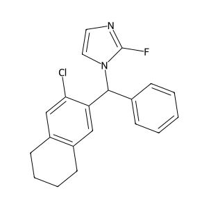 Fc1nccn1C(c1ccccc1)c1cc2c(cc1Cl)CCCC2